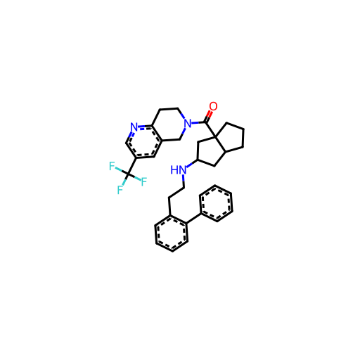 O=C(N1CCc2ncc(C(F)(F)F)cc2C1)C12CCCC1CC(NCCc1ccccc1-c1ccccc1)C2